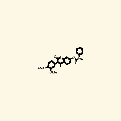 COc1ccc(-c2c(C)c3ccc(OC(=O)N(C)c4ccccc4)cc3oc2=O)cc1OC